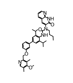 CCCCN(C(=O)Nc1c(C(C)C)cc(-c2cccc(OCc3ncc(C)c(OC)c3C)c2)cc1C(C)C)c1cc2cccnc2[nH]c1=O